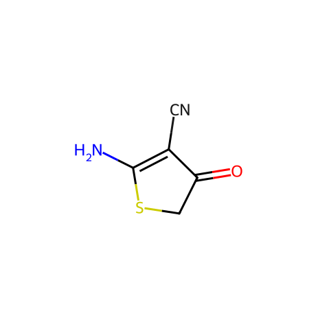 N#CC1=C(N)SCC1=O